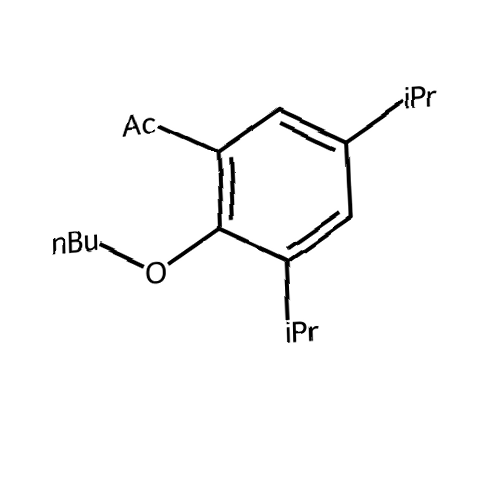 CCCCOc1c(C(C)=O)cc(C(C)C)cc1C(C)C